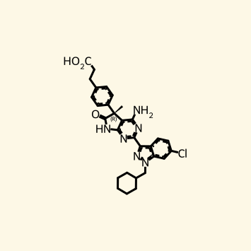 C[C@]1(c2ccc(CCC(=O)O)cc2)C(=O)Nc2nc(-c3nn(CC4CCCCC4)c4cc(Cl)ccc34)nc(N)c21